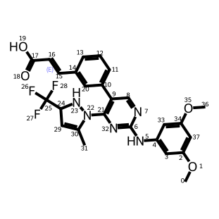 COc1cc(Nc2ncc(-c3cccc(/C=C/C(=O)O)c3)c(N3NC(C(F)(F)F)C=C3C)n2)cc(OC)c1